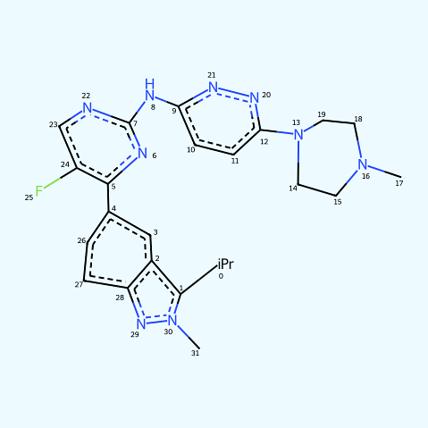 CC(C)c1c2cc(-c3nc(Nc4ccc(N5CCN(C)CC5)nn4)ncc3F)ccc2nn1C